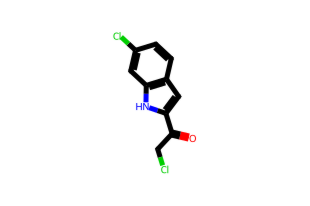 O=C(CCl)c1cc2ccc(Cl)cc2[nH]1